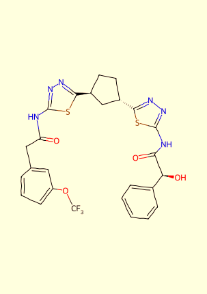 O=C(Cc1cccc(OC(F)(F)F)c1)Nc1nnc([C@H]2CC[C@H](c3nnc(NC(=O)[C@@H](O)c4ccccc4)s3)C2)s1